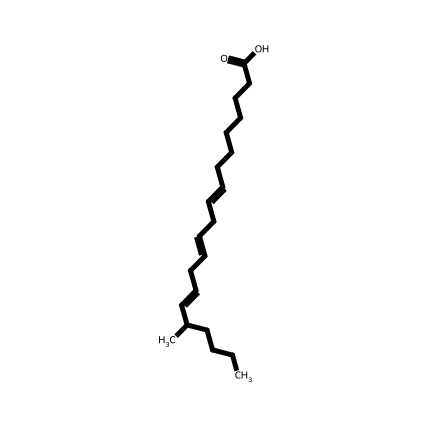 CCCCC(C)/C=C/C/C=C/C/C=C/CCCCCCC(=O)O